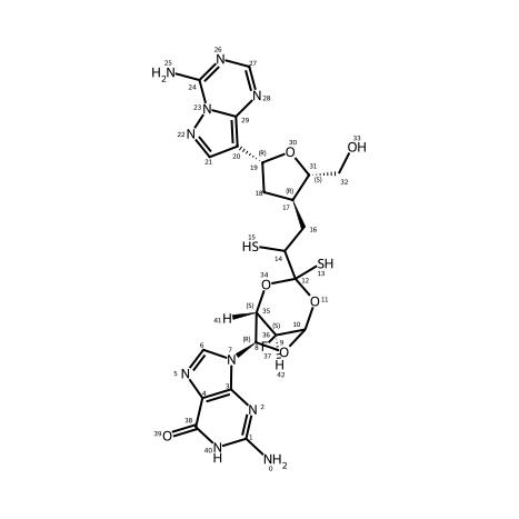 Nc1nc2c(ncn2[C@@H]2OC3OC(S)(C(S)C[C@H]4C[C@H](c5cnn6c(N)ncnc56)O[C@@H]4CO)O[C@@H]2[C@@H]3F)c(=O)[nH]1